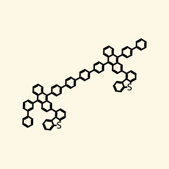 c1ccc(-c2ccc(-c3c4ccccc4c(-c4ccc(-c5ccc(-c6ccc(-c7ccc(-c8c9ccccc9c(-c9cccc(-c%10ccccc%10)c9)c9ccc(-c%10cccc%11sc%12ccccc%12c%10%11)cc89)cc7)cc6)cc5)cc4)c4ccc(-c5cccc6sc7ccccc7c56)cc34)cc2)cc1